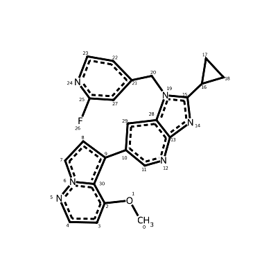 COc1ccnn2ccc(-c3cnc4nc(C5CC5)n(Cc5ccnc(F)c5)c4c3)c12